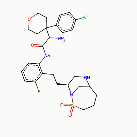 N[C@H](C(=O)Nc1cccc(F)c1CC[C@H]1CNC2CCCS(=O)(=O)N1C2)C1(c2ccc(Cl)cc2)CCOCC1